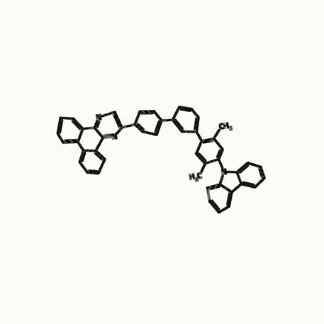 Cc1cc(-n2c3ccccc3c3ccccc32)c(C)cc1-c1cccc(-c2ccc(-c3cnc4c5ccccc5c5ccccc5c4n3)cc2)c1